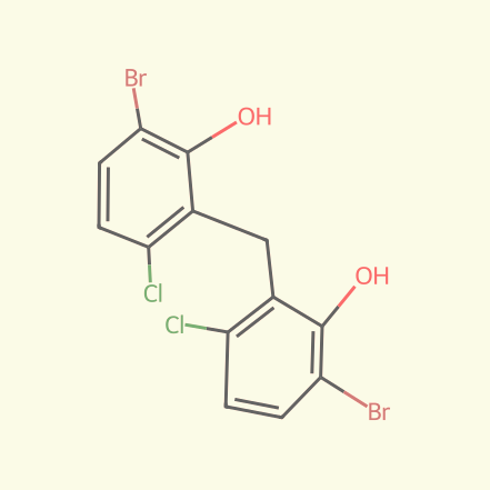 Oc1c(Br)ccc(Cl)c1Cc1c(Cl)ccc(Br)c1O